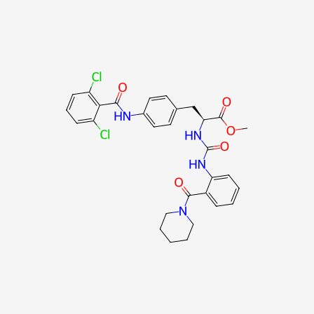 COC(=O)[C@H](Cc1ccc(NC(=O)c2c(Cl)cccc2Cl)cc1)NC(=O)Nc1ccccc1C(=O)N1CCCCC1